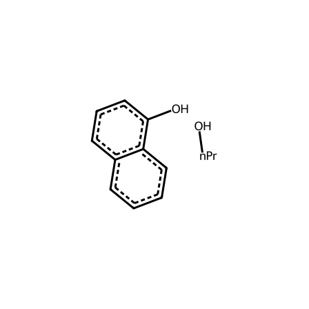 CCCO.Oc1cccc2ccccc12